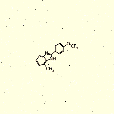 Cc1cccc2nc(-c3ccc(OC(F)(F)F)cc3)[nH]c12